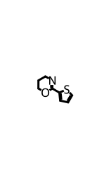 c1csc(C2=NCCCO2)c1